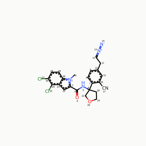 Cn1c(C(=O)NC2(c3ccc(CC=[N+]=[N-])cc3C#N)CCOC2)cc2c(Cl)c(Cl)ccc21